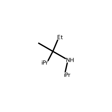 CCC(C)(NC(C)C)C(C)C